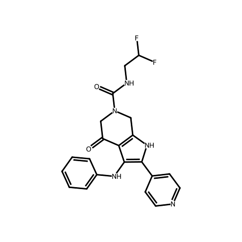 O=C1CN(C(=O)NCC(F)F)Cc2[nH]c(-c3ccncc3)c(Nc3ccccc3)c21